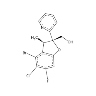 C[C@@H]1c2c(cc(F)c(Cl)c2Br)O[C@@]1(CO)c1ccccn1